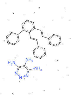 C(=Cc1cccc(-c2ccccc2)c1C=Cc1ccccc1)c1ccccc1.Nc1nnnc(N)c1N